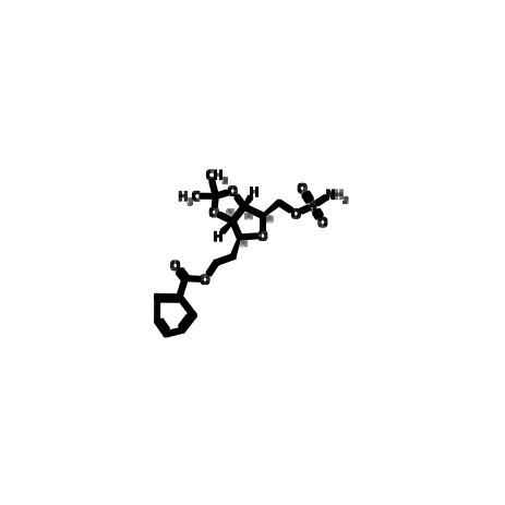 CC1(C)O[C@@H]2[C@H](O1)[C@@H](COS(N)(=O)=O)O[C@H]2CCOC(=O)c1ccccc1